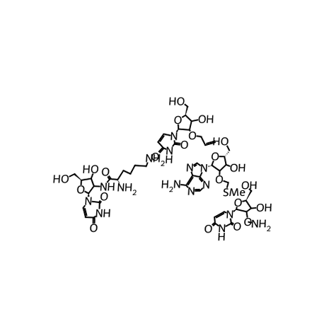 C=CCOC1C(O)[C@H](CO)O[C@@H]1n1ccc(=O)[nH]c1=O.CSCOC1C(O)[C@@H](CO)O[C@H]1n1cnc2c(N)ncnc21.NCCCC[C@H](N)C(=O)NC1C(O)[C@H](CO)O[C@@H]1n1ccc(=O)[nH]c1=O.NOC1C(O)[C@H](CO)O[C@@H]1n1ccc(=O)[nH]c1=O